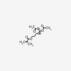 C=C(C)C(=O)OCCCO[SiH](OC(C)=O)OC(C)=O